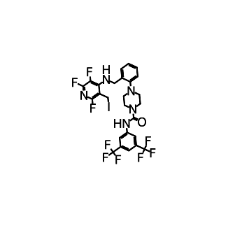 O=C(Nc1cc(C(F)(F)F)cc(C(F)(F)F)c1)N1CCN(c2ccccc2CNc2c(F)c(F)nc(F)c2CI)CC1